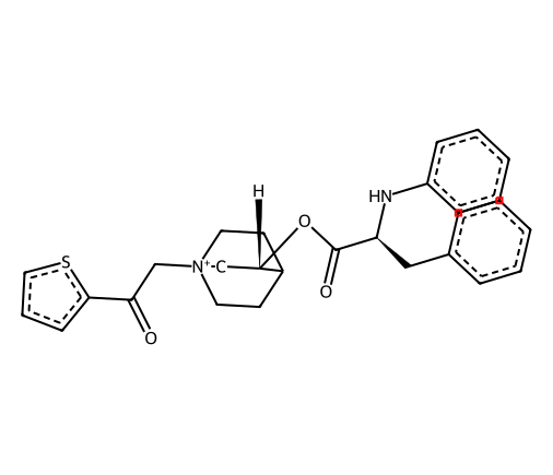 O=C(C[N+]12CCC(CC1)[C@@H](OC(=O)[C@H](Cc1ccccc1)Nc1ccccc1)C2)c1cccs1